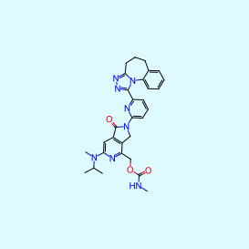 CNC(=O)OCc1nc(N(C)C(C)C)cc2c1CN(c1cccc(-c3nnc4n3-c3ccccc3CCC4)n1)C2=O